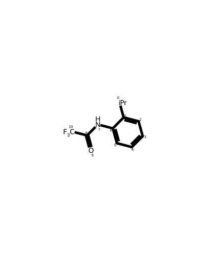 CC(C)c1ccccc1NC(=O)C(F)(F)F